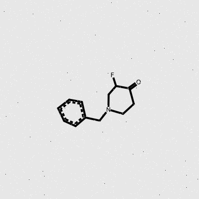 O=C1CCN(Cc2ccccc2)CC1F